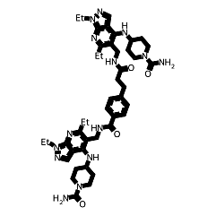 CCc1nc2c(cnn2CC)c(NC2CCN(C(N)=O)CC2)c1CNC(=O)CCc1ccc(C(=O)NCc2c(CC)nc3c(cnn3CC)c2NC2CCN(C(N)=O)CC2)cc1